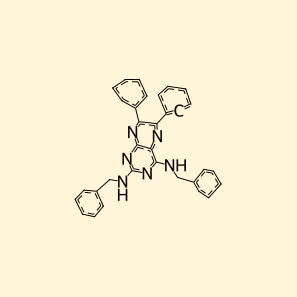 c1ccc(CNc2nc(NCc3ccccc3)c3nc(-c4ccccc4)c(-c4ccccc4)nc3n2)cc1